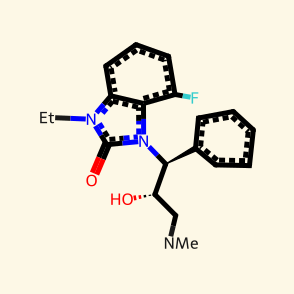 CCn1c(=O)n([C@@H](c2ccccc2)[C@@H](O)CNC)c2c(F)cccc21